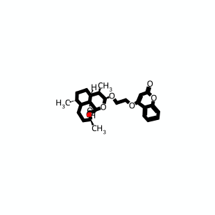 C[C@H]1[C@@H](OCCOc2cc(=O)oc3ccccc23)O[C@@H]2O[C@@]3(C)CCC4[C@H](C)CC[C@@H]1[C@]42OO3